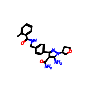 Cc1ccccc1C(=O)NCc1ccc(-c2nn(C3CCOC3)c(N)c2C(N)=O)cc1